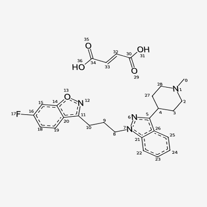 CN1CCC(c2nn(CCCc3noc4cc(F)ccc34)c3ccccc23)CC1.O=C(O)C=CC(=O)O